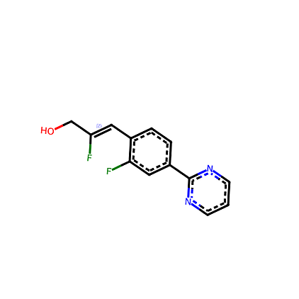 OC/C(F)=C/c1ccc(-c2ncccn2)cc1F